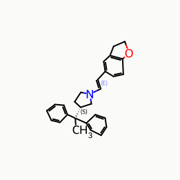 CC(c1ccccc1)(c1ccccc1)[C@@H]1CCN(/C=C/c2ccc3c(c2)CCO3)C1